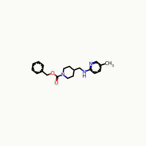 Cc1ccc(NCC2CCN(C(=O)OCc3ccccc3)CC2)nc1